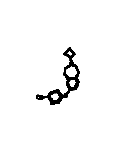 [C-]#[N+]c1ccc(Oc2ccc3c(c2)CCN(C2CCC2)CC3)cn1